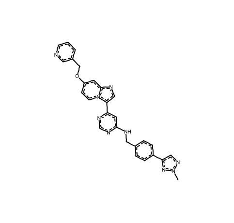 Cn1ncc(-c2ccc(CNc3cc(-c4cnc5cc(OCc6cccnc6)ccn45)ncn3)cc2)n1